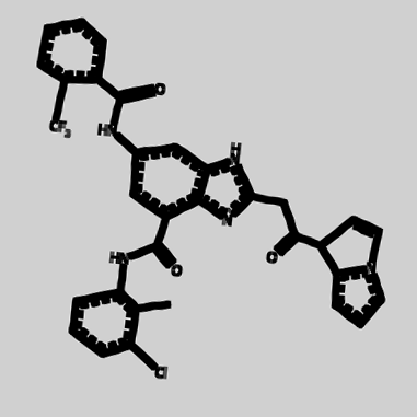 Cc1c(Cl)cccc1NC(=O)c1cc(NC(=O)c2ccccc2C(F)(F)F)cc2[nH]c(CC(=O)C3C=Cn4cccc43)nc12